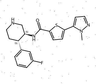 Cn1nccc1-c1ccc(C(=O)N[C@@H]2CNCC[C@H]2c2cccc(F)c2)s1